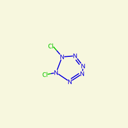 ClN1N=NN=NN1Cl